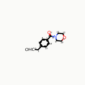 O=CCc1ccc(C(=O)N2CCOCC2)cc1